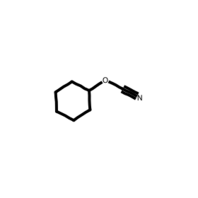 N#COC1CCCCC1